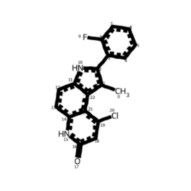 Cc1c(-c2ccccc2F)[nH]c2ccc3[nH]c(=O)cc(Cl)c3c12